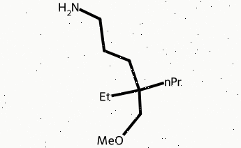 CCCC(CC)(CCCN)COC